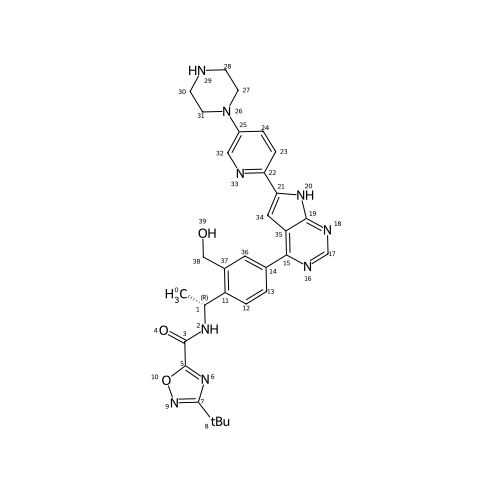 C[C@@H](NC(=O)c1nc(C(C)(C)C)no1)c1ccc(-c2ncnc3[nH]c(-c4ccc(N5CCNCC5)cn4)cc23)cc1CO